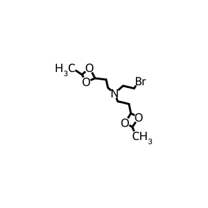 CC1OC(CCN(CCBr)CCC2OC(C)O2)O1